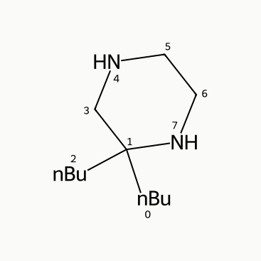 CCCCC1(CCCC)CNCCN1